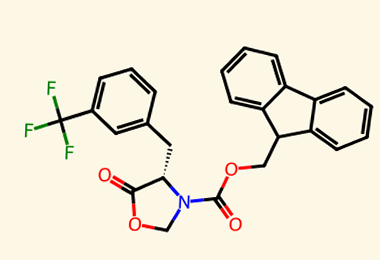 O=C1OCN(C(=O)OCC2c3ccccc3-c3ccccc32)[C@H]1Cc1cccc(C(F)(F)F)c1